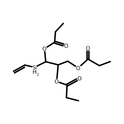 C=C[SiH2]C(OC(=O)CC)C(COC(=O)CC)OC(=O)CC